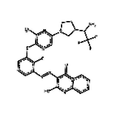 Nc1nc(N2CCC(C(N)C(F)(F)F)C2)cnc1Sc1cccc(/N=N/c2c(O)nc3ccccn3c2=O)c1Cl